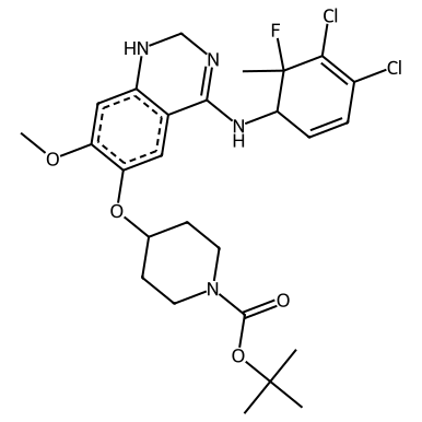 COc1cc2c(cc1OC1CCN(C(=O)OC(C)(C)C)CC1)C(NC1C=CC(Cl)=C(Cl)C1(C)F)=NCN2